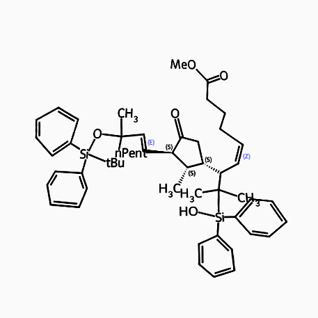 CCCCCC(C)(/C=C/[C@H]1C(=O)C[C@H](C(/C=C\CCCC(=O)OC)C(C)(C)[Si](O)(c2ccccc2)c2ccccc2)[C@@H]1C)O[Si](c1ccccc1)(c1ccccc1)C(C)(C)C